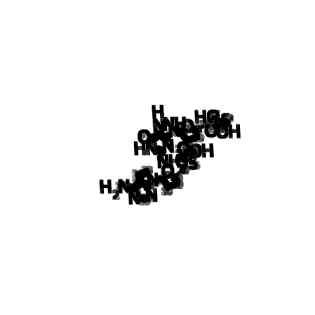 Nc1nc2c(c(=O)[nH]1)NNN2[C@@H]1O[C@H](COP(O)(O)=S)CC1OP(O)(=S)OC[C@@H]1CC[C@H](n2ccc3c(N)ncnc32)O1